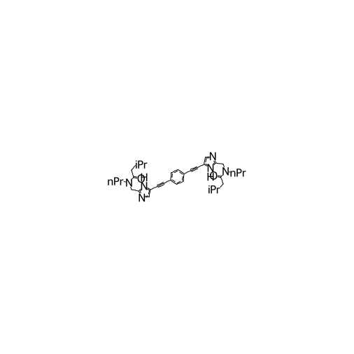 CCCN(Cc1ncc(C#Cc2ccc(C#Cc3cnc(CN(CCC)C(=O)CC(C)C)[nH]3)cc2)[nH]1)C(=O)CC(C)C